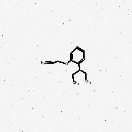 C=CCOc1ccccc1N(CC)CC